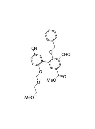 COCCOCOc1ccc(C#N)cc1-c1cc(C(=O)OC)cc(C=O)c1OCc1ccccc1